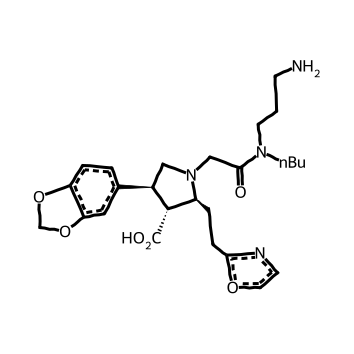 CCCCN(CCCN)C(=O)CN1C[C@H](c2ccc3c(c2)OCO3)[C@@H](C(=O)O)[C@@H]1CCc1ncco1